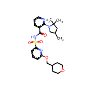 CC1CN(c2ncccc2C(=O)NS(=O)(=O)c2cccc(OCC3CCOCC3)n2)C(C)(C)C1